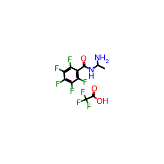 CC(N)NC(=O)c1c(F)c(F)c(F)c(F)c1F.O=C(O)C(F)(F)F